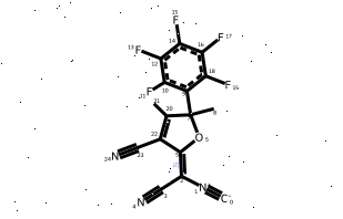 [C-]#[N+]/C(C#N)=C1\OC(C)(c2c(F)c(F)c(F)c(F)c2F)C(C)=C1C#N